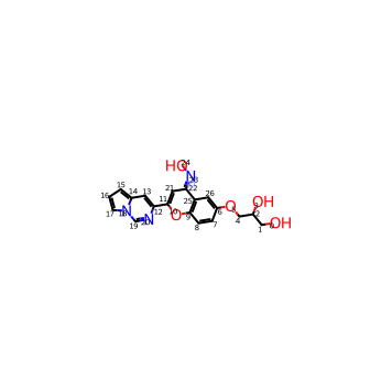 OCC(O)COc1ccc2oc(-c3cc4cccn4cn3)c/c(=N\O)c2c1